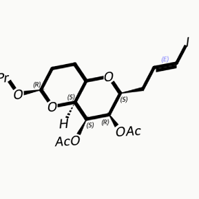 CC(=O)O[C@@H]1[C@H](OC(C)=O)[C@H](C/C=C/I)OC2CC[C@H](OC(C)C)O[C@@H]21